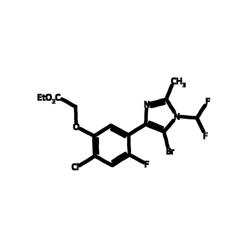 CCOC(=O)COc1cc(-c2nc(C)n(C(F)F)c2Br)c(F)cc1Cl